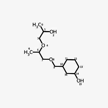 CC(O)COC(C)COCC1CCCC(O)C1